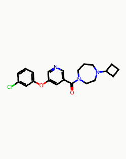 O=C(c1cncc(Oc2cccc(Cl)c2)c1)N1CCCN(C2CCC2)CC1